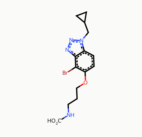 O=C(O)NCCCOc1ccc2c(nnn2CC2CC2)c1Br